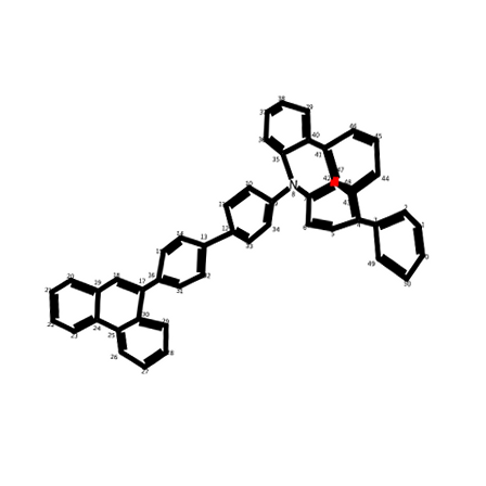 c1ccc(-c2ccc(N(c3ccc(-c4ccc(-c5cc6ccccc6c6ccccc56)cc4)cc3)c3ccccc3-c3ccccc3)cc2)cc1